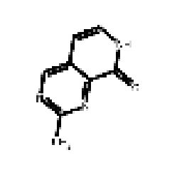 Cc1ncc2cc[nH]c(=O)c2n1